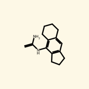 C=C(N)Nc1c2c(cc3c1CCC3)CCCC2